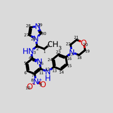 CCC(Nc1ccc([N+](=O)[O-])c(Nc2ccc(N3CCOCC3)cc2)n1)n1ccnc1